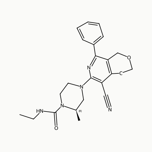 CCNC(=O)N1CCN(c2nc(-c3ccccc3)c3c(c2C#N)CCOC3)C[C@H]1C